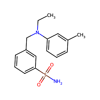 CCN(Cc1cccc(S(N)(=O)=O)c1)c1cccc(C)c1